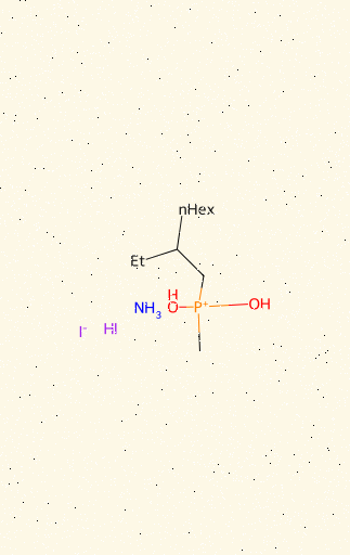 CCCCCCC(CC)C[P+](C)(O)O.I.N.[I-]